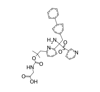 CC(C)(Cc1cccc(C(N)(Cc2ccc(-c3ccccc3)cc2)S(=O)(=O)c2cccnc2)n1)OC(=O)NCC(=O)O